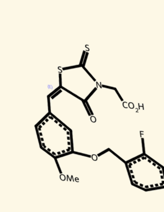 COc1ccc(/C=C2/SC(=S)N(CC(=O)O)C2=O)cc1OCc1ccccc1F